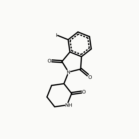 O=C1NCCCC1N1C(=O)c2cccc(I)c2C1=O